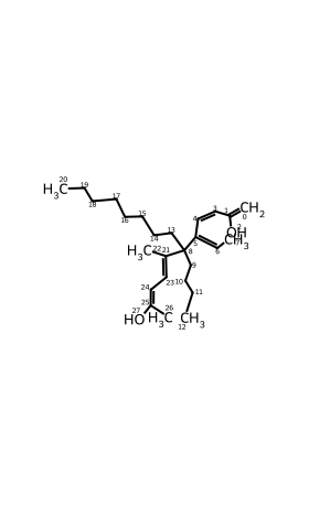 C=C(O)/C=C\C(=C/C)C(CCCC)(CCCCCCCC)/C(C)=C/C=C(\C)O